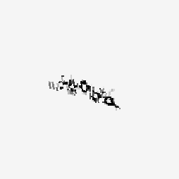 CC(C)c1noc(N2CCC(Oc3ncnc4c3ncn4-c3ccc(C#N)cc3F)CC2)n1